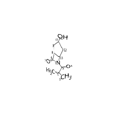 C=C(C)C(=O)N1C(=O)C2CC(O)CC21